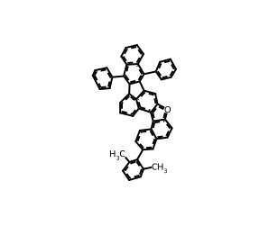 Cc1cccc(C)c1-c1ccc2c(ccc3oc4cc5c6c(cccc6c4c32)-c2c-5c(-c3ccccc3)c3ccccc3c2-c2ccccc2)c1